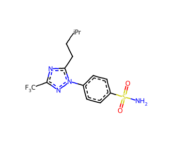 CC(C)CCc1nc(C(F)(F)F)nn1-c1ccc(S(N)(=O)=O)cc1